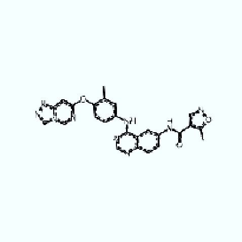 Cc1cc(Nc2ncnc3ccc(NC(=O)c4cnoc4C)cc23)ccc1Oc1cc2nncn2cn1